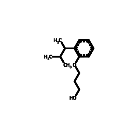 CC(C)C(C)c1ccccc1OCCCO